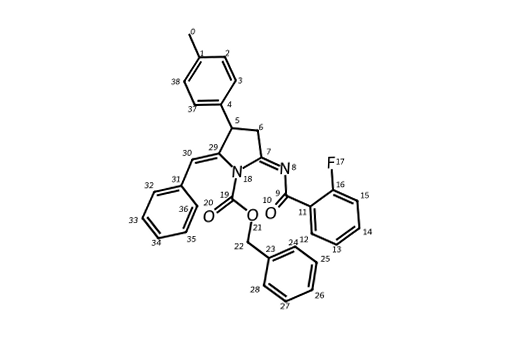 Cc1ccc(C2C/C(=N/C(=O)c3ccccc3F)N(C(=O)OCc3ccccc3)/C2=C\c2ccccc2)cc1